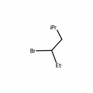 C[CH]C(Br)CC(C)C